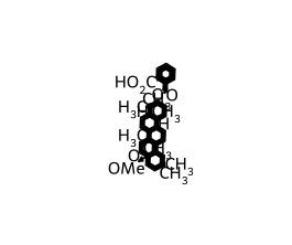 COC(=O)[C@]12CCC(C)(C)CC1=C1CC[C@@H]3[C@@]4(C)CC[C@H](OC(=O)c5ccccc5C(=O)O)C(C)(C)[C@@H]4CC[C@@]3(C)[C@]1(C)CC2